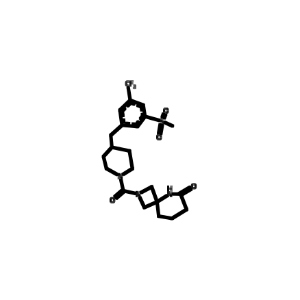 CS(=O)(=O)c1cc(CC2CCN(C(=O)N3CC4(CCCC(=O)N4)C3)CC2)cc(C(F)(F)F)c1